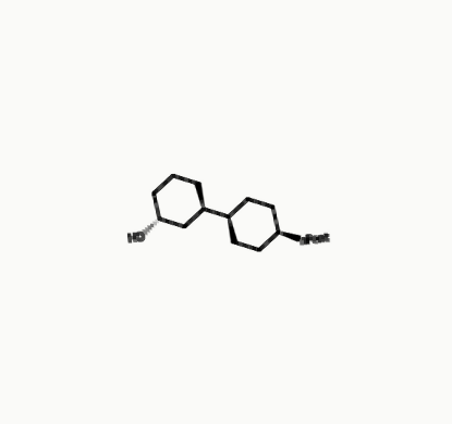 CCCCC[C@H]1CC[C@@H]([C@@H]2CCC[C@@H](O)C2)CC1